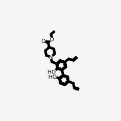 C=CCc1ccc(O)c(-c2cc(CC=C)cc(CN3CCC(C(=O)OCC)CC3)c2O)c1